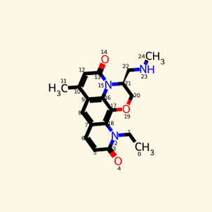 CCn1c(=O)ccc2cc3c(C)cc(=O)n4c3c(c21)OC[C@@H]4CNC